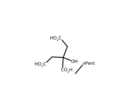 CCCCCC.O=C(O)CC(O)(CC(=O)O)C(=O)O